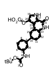 CC(C)(C)OC(=O)Nc1cccc(-c2ccc3[nH]c(=O)c4[nH]cc(OC(=O)O)c4c3c2)c1